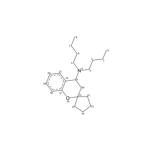 CCCCN(CCCC)C1CC2(CCCC2)Oc2ccccc21